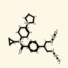 [N-]=[N+]=NCC(CN=[N+]=[N-])c1ccc(C(=O)N(C2CC=C(N3CCCC3)CC2)C2CC2)cc1